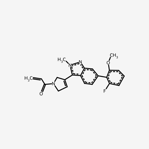 C=CC(=O)N1CC=C(c2c3ccc(-c4c(F)cccc4OC)cc3nn2C)C1